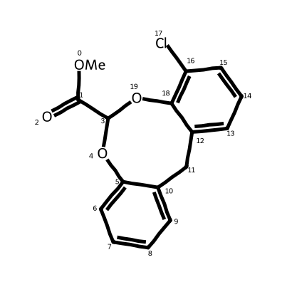 COC(=O)C1Oc2ccccc2Cc2cccc(Cl)c2O1